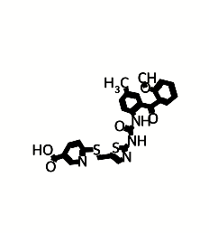 COc1ccccc1C(=O)c1cc(C)ccc1NC(=O)Nc1ncc(CSc2ccc(C(=O)O)cn2)s1